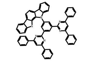 c1ccc(-c2cc(-c3ccccc3)nc(-c3cc(-c4nc(-c5ccccc5)cc(-c5ccccc5)n4)cc(-n4c5ccccc5c5ccc6c7ccccc7sc6c54)c3)n2)cc1